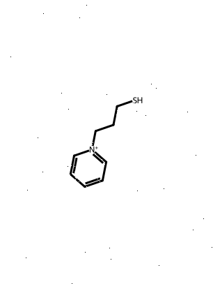 SCCC[n+]1ccccc1